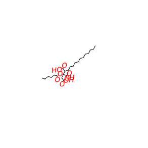 CCCCCCCCCCCCC(C(=O)O)C(CC(=O)O)(OC(=O)CCCCC)C(=O)O